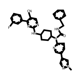 Cn1cc(-c2ccc(N(C(=O)NCc3ccccc3)C3CCC(Nc4ncc(C#N)c(-c5cccc(F)c5)n4)CC3)nc2)cn1